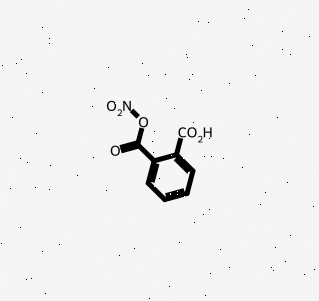 O=C(O)c1ccccc1C(=O)O[N+](=O)[O-]